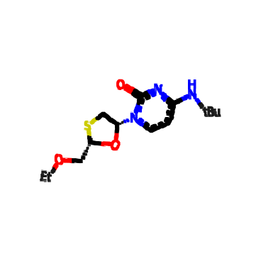 CCOC[C@H]1O[C@@H](n2ccc(NC(C)(C)C)nc2=O)CS1